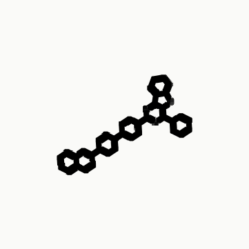 c1ccc(-c2nc(-c3ccc(-c4ccc(-c5ccc6ccccc6c5)cc4)cc3)nc3c2oc2ccccc23)cc1